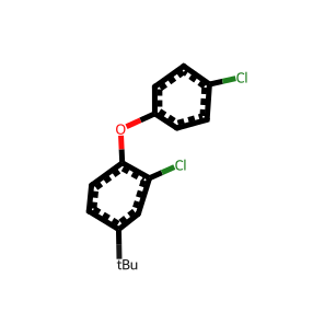 CC(C)(C)c1ccc(Oc2ccc(Cl)cc2)c(Cl)c1